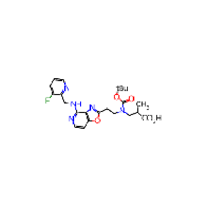 CC(CN(CCc1nc2c(NCc3ncccc3F)nccc2o1)C(=O)OC(C)(C)C)C(=O)O